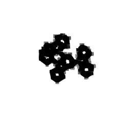 c1ccc(-n2c3ccccc3c3cc(-n4c5ncncc5c5cncnc54)cc(-n4c5ncncc5c5cncnc54)c32)cc1